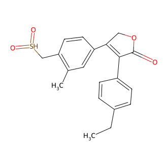 CCc1ccc(C2=C(c3ccc(C[SH](=O)=O)c(C)c3)COC2=O)cc1